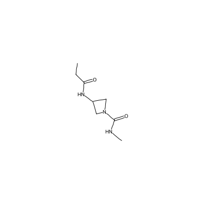 CCC(=O)NC1CN(C(=O)NC)C1